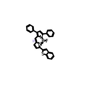 FB(F)n1c(-c2ccccc2)cc(-c2ccccc2)c1/C=C1/C=CC(c2cc3ccccc3s2)=N1